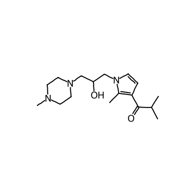 Cc1c(C(=O)C(C)C)ccn1CC(O)CN1CCN(C)CC1